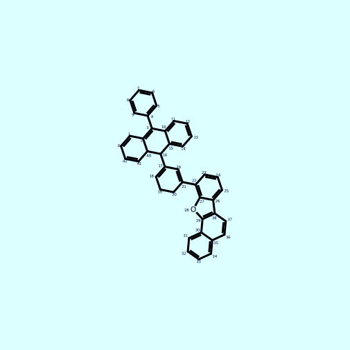 C1=CC2=C(c3ccccc3)c3ccccc3C(C3=CCCC(c4cccc5c4oc4c6ccccc6ccc54)=C3)C2C=C1